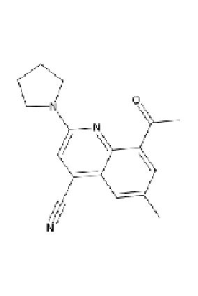 CC(=O)c1cc(C)cc2c(C#N)cc(N3CCCC3)nc12